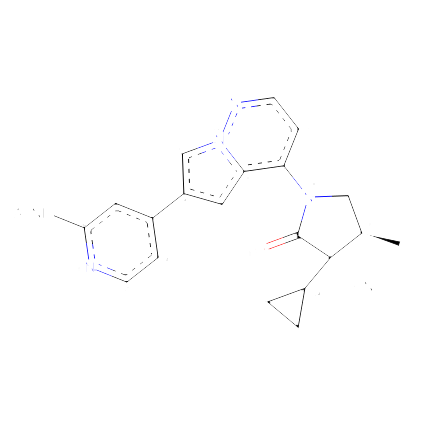 CC(=O)Nc1cc(-c2cc3c(N4C[C@@H](C)[C@@](C#N)(C5CC5)C4=O)ccnn3c2)ccn1